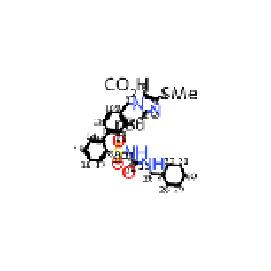 CCCCc1nc(SC)c(C(=O)O)n1Cc1ccc(-c2ccccc2S(=O)(=O)NC(=O)NCC2CCCCC2)cc1